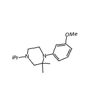 COc1cccc(N2CCN(C(C)C)CC2(C)C)c1